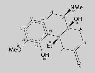 CC[C@]12CC(=O)CC[C@@]1(O)[C@H](NC)Cc1ccc(OC)c(O)c12